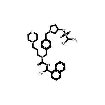 CC(NC(=O)N(CCCN1CCOCC1)Cc1ccc(CN2CCC(NS(=O)(=O)C(C)C)C2)cc1)c1cccc2ccccc12